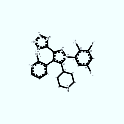 Nc1ncccc1-c1c(-c2nnn[nH]2)nn(-c2cc(F)cc(F)c2Cl)c1C1CCNCC1